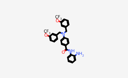 Nc1ccccc1NC(=O)c1ccc(N(Cc2cccc(OC(F)(F)F)c2)Cc2cccc(OC(F)(F)F)c2)cc1